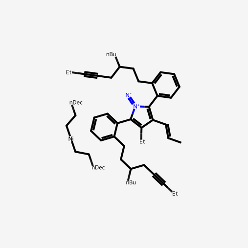 CC=CC1=C(c2ccccc2CCC(CC#CCC)CCCC)[N+](=[N-])C(c2ccccc2CCC(CC#CCC)CCCC)=C1CC.CCCCCCCCCCC[CH2][Ni][CH2]CCCCCCCCCCC